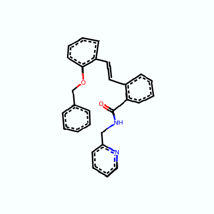 O=C(NCc1ccccn1)c1ccccc1C=Cc1ccccc1OCc1ccccc1